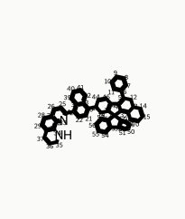 C1=CC2=C3C(=C(c4ccccc4)CC2C=C1)C1=C(CC(c2ccc(-c4ccc5ccc6c(c5n4)NCC=C6)c4ccccc24)C=C1)C31c2ccccc2-c2ccccc21